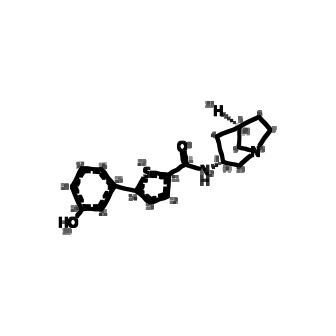 O=C(N[C@@H]1C[C@H]2CCN(C2)C1)c1ccc(-c2cccc(O)c2)s1